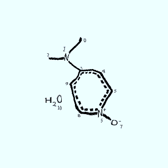 CN(C)c1cc[n+]([O-])cc1.O